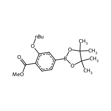 CCCCOc1cc(B2OC(C)(C)C(C)(C)O2)ccc1C(=O)OC